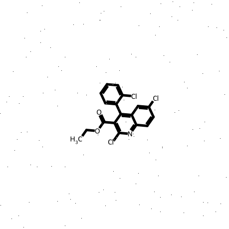 CCOC(=O)c1c(Cl)nc2ccc(Cl)cc2c1-c1ccccc1Cl